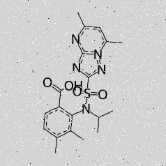 Cc1cc(C)n2nc(S(=O)(=O)N(c3c(C(=O)O)ccc(C)c3C)C(C)C)nc2n1